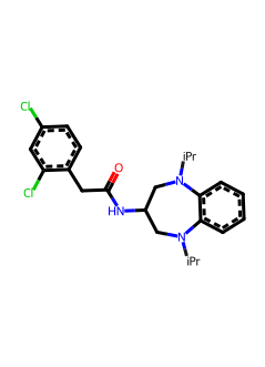 CC(C)N1CC(NC(=O)Cc2ccc(Cl)cc2Cl)CN(C(C)C)c2ccccc21